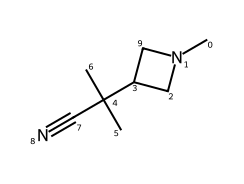 CN1CC(C(C)(C)C#N)C1